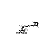 CC(C)(CC(C(=O)O)S(=O)(=O)O)SCCOCCN1C(=O)C=CC1=O